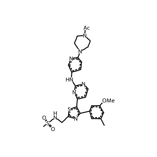 COc1cc(C)cc(-c2nc(CNS(C)(=O)=O)sc2-c2ccnc(Nc3ccc(N4CCN(C(C)=O)CC4)nc3)n2)c1